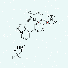 COc1ccc(CN2C3CC2CN(c2ccc(-c4cc(CNCC(F)(F)F)cn5ncc(C#N)c45)cn2)C3)cn1